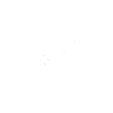 COCCS(=O)(=O)N1CCC(c2cc(Cl)cc3[nH]ncc23)CC1